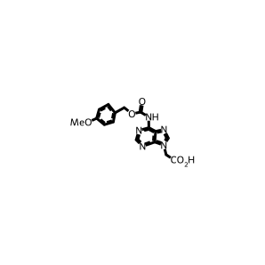 COc1ccc(COC(=O)Nc2ncnc3c2ncn3CC(=O)O)cc1